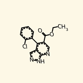 CCOC(=O)c1cnc2[nH]ncc2c1-c1ccccc1Cl